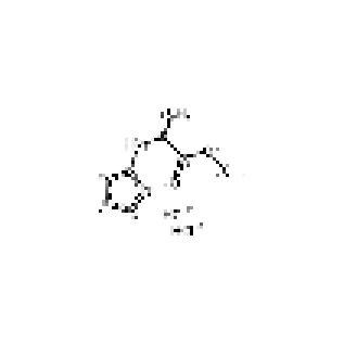 COC(=O)[C@H](C)Nc1cscn1.Cl.Cl